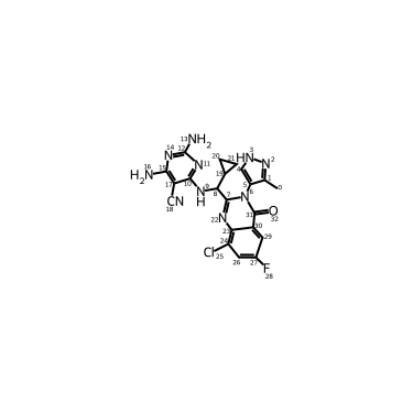 Cc1n[nH]cc1-n1c(C(Nc2nc(N)nc(N)c2C#N)C2CC2)nc2c(Cl)cc(F)cc2c1=O